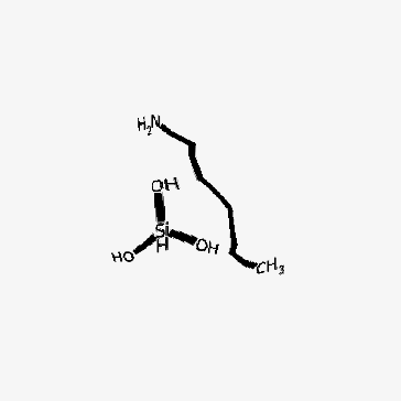 CCCCCN.O[SiH](O)O